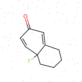 O=C1C=CC2(F)CCCCC2=C1